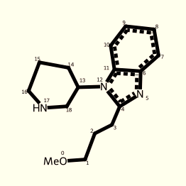 COCCCc1nc2ccccc2n1C1CCCNC1